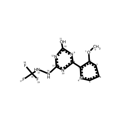 COc1cccnc1-c1nc(O)nc(NNC(F)(F)F)n1